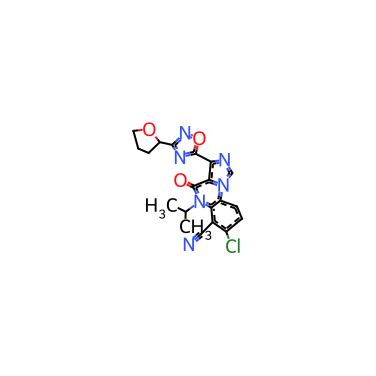 CC(C)n1c(=O)c2c(-c3nc(C4CCCO4)no3)ncn2c2ccc(Cl)c(C#N)c21